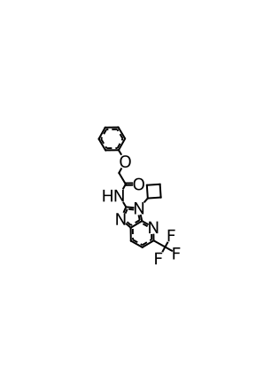 O=C(COc1ccccc1)Nc1nc2ccc(C(F)(F)F)nc2n1C1CCC1